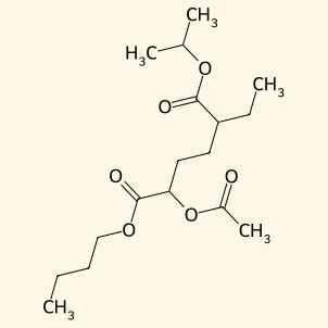 CCCCOC(=O)C(CCC(CC)C(=O)OC(C)C)OC(C)=O